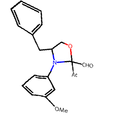 COc1cccc(N2C(Cc3ccccc3)COC2(C=O)C(C)=O)c1